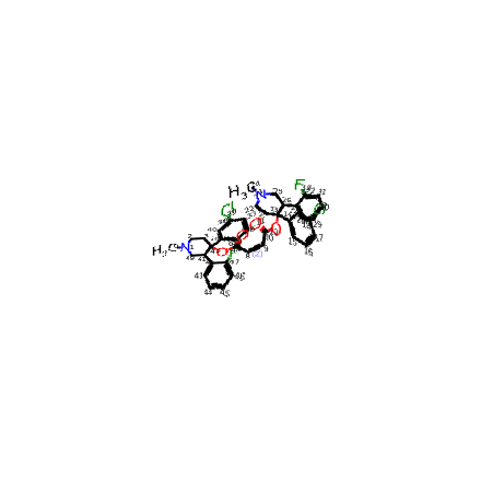 CN1CCC(OC(=O)/C=C\C(=O)OC2(c3cccc(Cl)c3)CCN(C)CC2c2ccccc2F)(c2cccc(Cl)c2)C(c2ccccc2F)C1